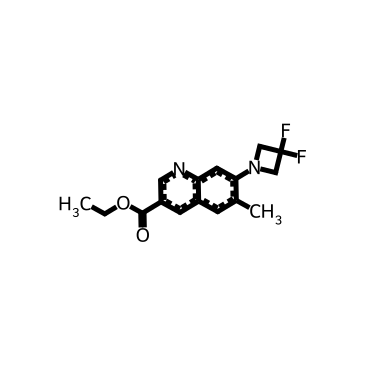 CCOC(=O)c1cnc2cc(N3CC(F)(F)C3)c(C)cc2c1